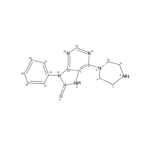 O=c1[nH]c2c(N3CCNCC3)ncnc2n1-c1ccccc1